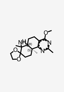 COc1nc(C)nc2c1CC[C@H]1C(C)(N)C3(CC[C@]21C)OCCO3